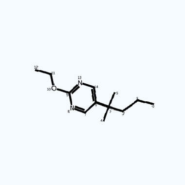 CCCC(C)(C)c1cnc(OCC)nc1